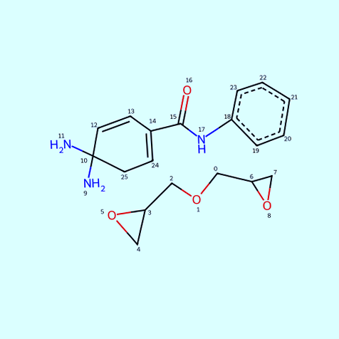 C(OCC1CO1)C1CO1.NC1(N)C=CC(C(=O)Nc2ccccc2)=CC1